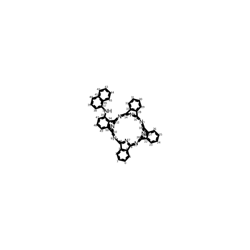 c1ccc2c(c1)-c1nc-2nc2[nH]c(nc3nc(nc4[nH]c(n1)c1ccccc41)-c1ccccc1-3)c1c(Nc3cccc4ccccc34)cccc21